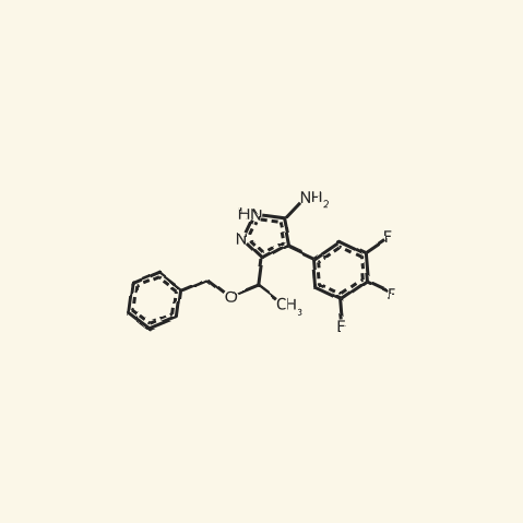 CC(OCc1ccccc1)c1n[nH]c(N)c1-c1cc(F)c(F)c(F)c1